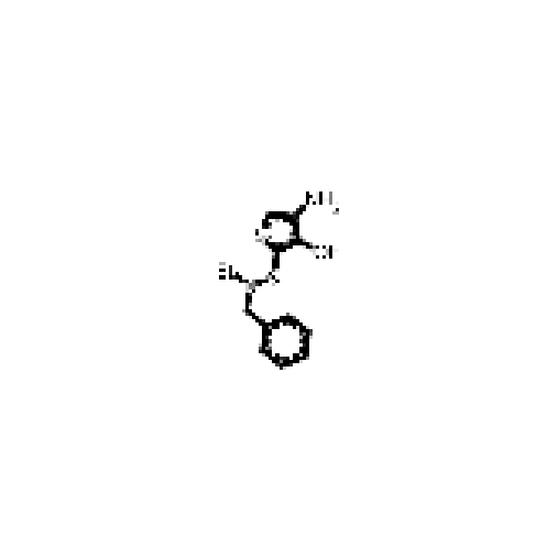 CCN(Cc1ccccc1)Sc1scc(N)c1O